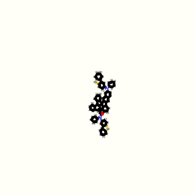 c1ccc(N(c2ccc3cc4c(cc3c2)C2(c3ccccc3-c3c2ccc2ccccc32)c2c-4ccc3cc(N(c4ccccc4)c4ccc5sc6ccccc6c5c4)ccc23)c2ccc3sc4ccccc4c3c2)cc1